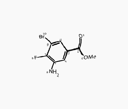 COC(=O)c1cc(N)c(F)c(Br)c1